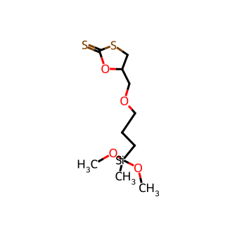 CO[Si](C)(CCCOCC1CSC(=S)O1)OC